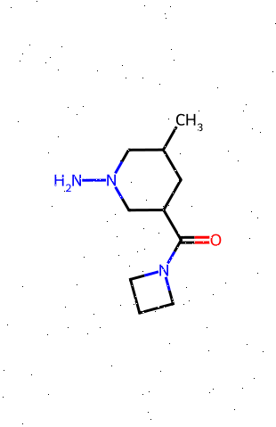 CC1CC(C(=O)N2CCC2)CN(N)C1